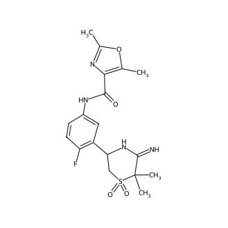 Cc1nc(C(=O)Nc2ccc(F)c(C3CS(=O)(=O)C(C)(C)C(=N)N3)c2)c(C)o1